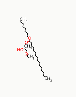 CCCCCCCCCCCCCCCC(=O)OCCCCCCCC.COCC(C)O